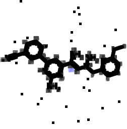 CCc1cccc(CN(N)/C=C(\N)c2cc(-c3cccc(C#N)c3)nc(N)n2)n1